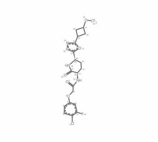 O=C(COc1ccc(Cl)c(F)c1)N[C@@H]1CC[C@H](c2nnc(C3CC(OC(F)(F)F)C3)o2)NC1=O